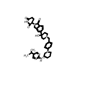 CC(C)c1cnc(N[C@H]2CCCN(c3ccc(CN4CCC(O)(c5ccc6c(c5)CN(C5CCC(=O)NC5=O)C6=O)CC4)cc3)C2)nc1